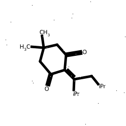 CC(C)CC(=C1C(=O)CC(C)(C)CC1=O)C(C)C